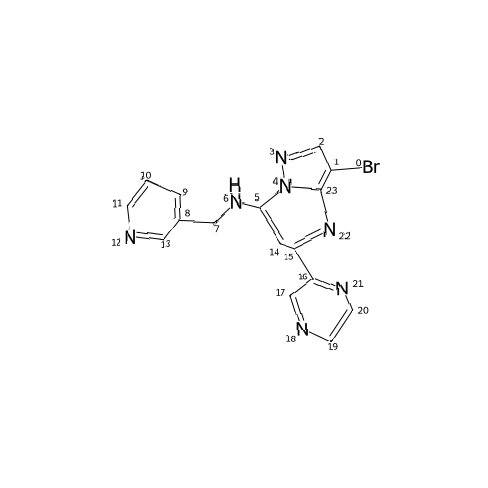 Brc1cnn2c(NCc3cccnc3)cc(-c3cnccn3)nc12